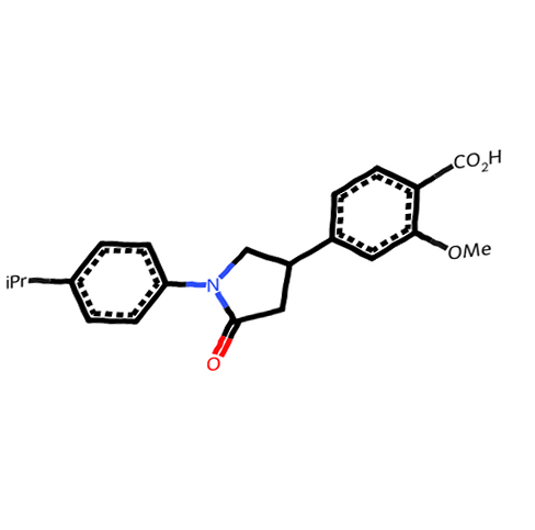 COc1cc(C2CC(=O)N(c3ccc(C(C)C)cc3)C2)ccc1C(=O)O